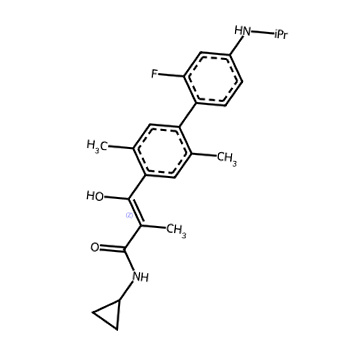 C/C(C(=O)NC1CC1)=C(/O)c1cc(C)c(-c2ccc(NC(C)C)cc2F)cc1C